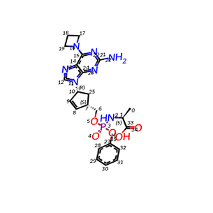 C[C@H](NP(=O)(OC[C@@H]1C=C[C@H](n2cnc3c(N4CCC4)nc(N)nc32)C1)Oc1ccccc1)C(=O)O